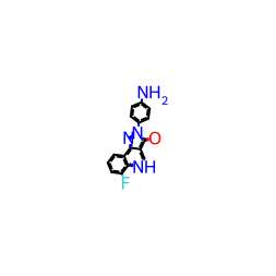 Nc1ccc(-n2nc3c4cccc(F)c4[nH]cc-3c2=O)cc1